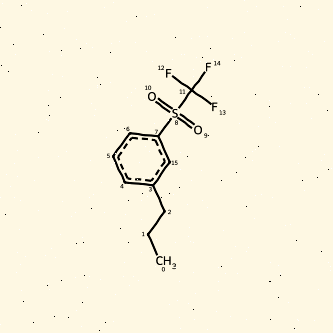 CCCc1cccc(S(=O)(=O)C(F)(F)F)c1